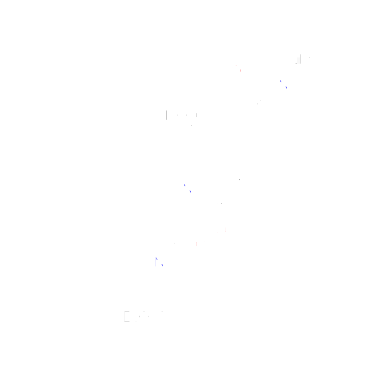 CCOC(=O)CN1C(=O)[C@@H](NC(=O)C2(CC(CC(=O)N(C)C(C)C)C(=O)O)CCCC2)CCc2ccccc21